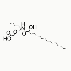 CCCCCCCCCCCCCCC(O)C(=O)NC(CCCC)COCC(=O)O